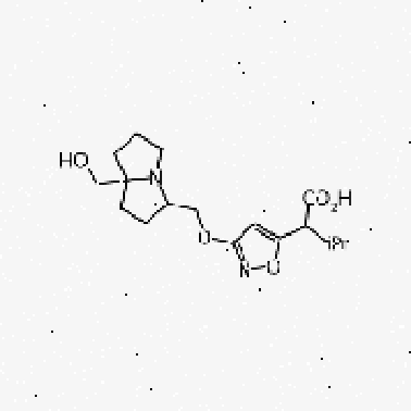 CC(C)C(C(=O)O)c1cc(OCC2CCC3(CO)CCCN23)no1